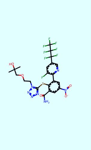 CC(C)(O)COCCn1nnnc1Sc1c(C(N)=O)cc([N+](=O)[O-])cc1-c1ncc(C(F)(F)C(F)(F)C(F)(F)F)cc1F